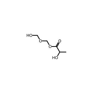 CC(O)C(=O)OCOCO